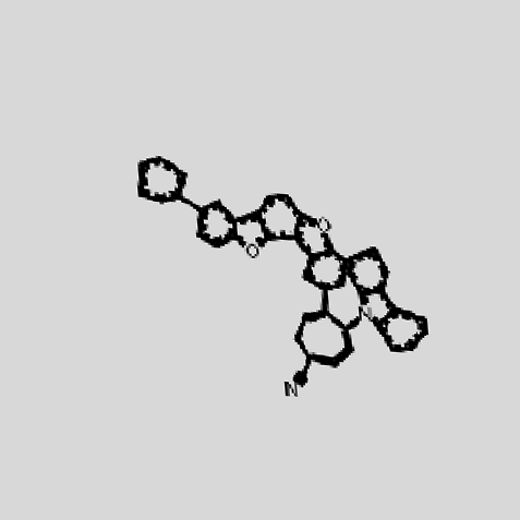 N#CC1=C=C=C(n2c3ccccc3c3ccccc32)C(c2ccc3oc4ccc5c6cc(-c7ccccc7)ccc6oc5c4c3c2)=CC1